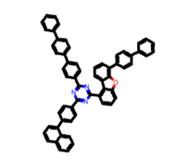 c1ccc(-c2ccc(-c3ccc(-c4nc(-c5ccc(-c6cccc7ccccc67)cc5)nc(-c5cccc6oc7c(-c8ccc(-c9ccccc9)cc8)cccc7c56)n4)cc3)cc2)cc1